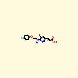 O=C(O)/C=C/c1cnc(NCCOc2ccc(F)cc2)c(I)c1